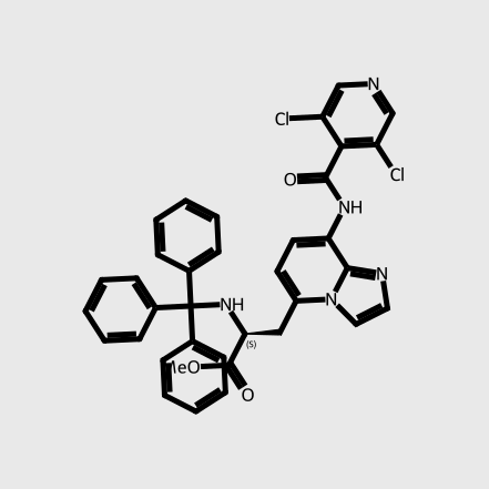 COC(=O)[C@H](Cc1ccc(NC(=O)c2c(Cl)cncc2Cl)c2nccn12)NC(c1ccccc1)(c1ccccc1)c1ccccc1